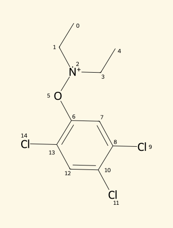 CC[N+](CC)Oc1cc(Cl)c(Cl)cc1Cl